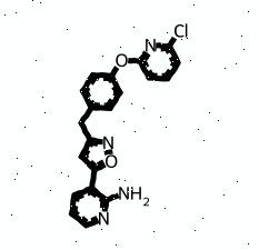 Nc1ncccc1-c1cc(Cc2ccc(Oc3cccc(Cl)n3)cc2)no1